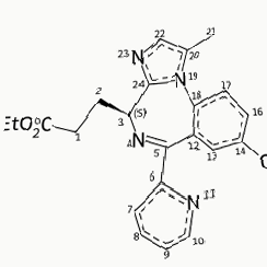 CCOC(=O)CC[C@@H]1N=C(c2ccccn2)c2cc(Cl)ccc2-n2c(C)cnc21